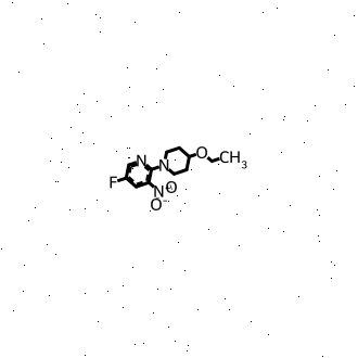 CCOC1CCN(c2ncc(F)cc2[N+](=O)[O-])CC1